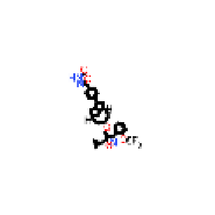 O=c1[nH]nc(-c2ccc(C3C[C@@H]4CC[C@@H](OCc5c(-c6ccccc6OC(F)(F)F)noc5C5CC5)CC[C@@H]5CC3C4C5)cc2)o1